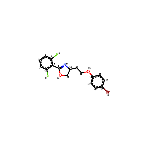 Fc1cccc(F)c1C1=NC(CCOc2ccc(Br)cc2)CO1